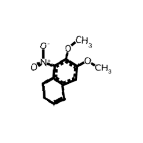 COc1cc2c(c([N+](=O)[O-])c1OC)CC[C]=C2